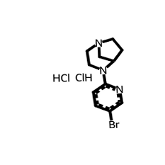 Brc1ccc(N2CCN3CCC2C3)nc1.Cl.Cl